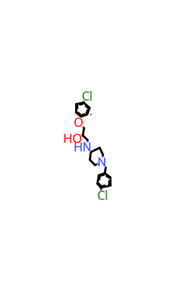 O[C@H](CNC1CCN(Cc2ccc(Cl)cc2)CC1)COc1[c]cc(Cl)cc1